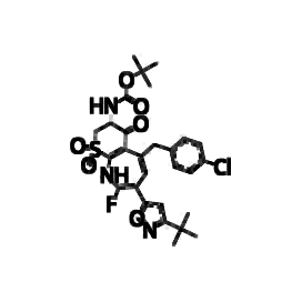 CC(C)(C)OC(=O)N[C@H]1CS(=O)(=O)C2=C(C1=O)C(Cc1ccc(Cl)cc1)=CC(c1cc(C(C)(C)C)no1)=C(F)N2